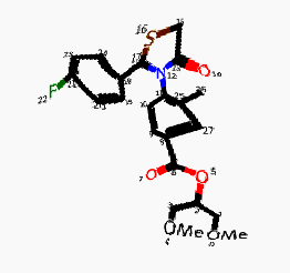 COCC(COC)OC(=O)c1ccc(N2C(=O)CSC2c2ccc(F)cc2)c(C)c1